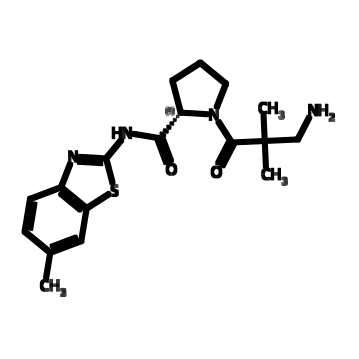 Cc1ccc2nc(NC(=O)[C@@H]3CCCN3C(=O)C(C)(C)CN)sc2c1